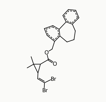 CC1(C)C(C=C(Br)Br)C1C(=O)OCc1cccc2c1CCCc1ccccc1-2